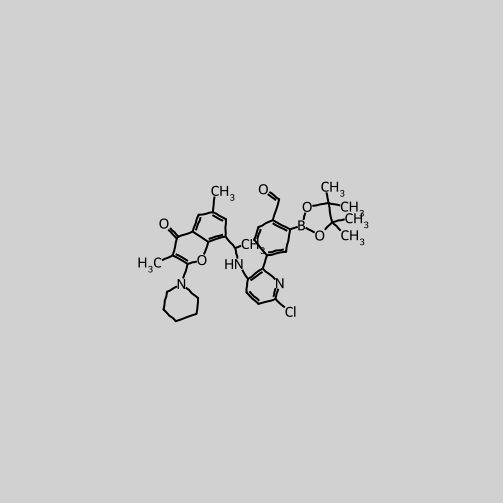 Cc1cc(C(C)Nc2ccc(Cl)nc2-c2ccc(C=O)c(B3OC(C)(C)C(C)(C)O3)c2)c2oc(N3CCCCC3)c(C)c(=O)c2c1